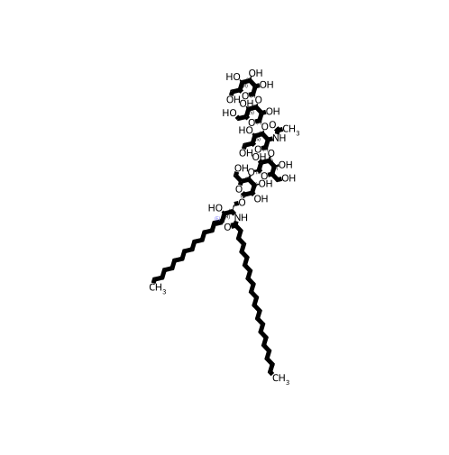 CCCCCCCCCCCCC/C=C/[C@@H](O)[C@H](CO[C@@H]1OC(CO)[C@@H](O[C@@H]2OC(CO)[C@H](O)[C@H](O[C@@H]3OC(CO)[C@@H](O)[C@H](O[C@@H]4OC(CO)[C@H](O)[C@H](O[C@@H]5OC(CO)[C@H](O)[C@H](O)C5O)C4O)C3NC(C)=O)C2O)[C@H](O)C1O)NC(=O)CCCCCCCCCCCCCCCCCCCCCCC